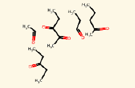 CC=O.CCC(=O)C(C)=O.CCC(=O)CC.CCC=O.CCCC(C)=O